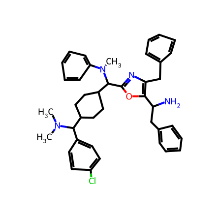 CN(C)C(c1ccc(Cl)cc1)C1CCC(C(c2nc(Cc3ccccc3)c(C(N)Cc3ccccc3)o2)N(C)c2ccccc2)CC1